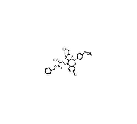 CCC(=O)O[C@@H]1C(=O)N(CCN(C)C(=O)OCc2ccccc2)c2ccc(Cl)cc2S[C@@H]1c1ccc(OC)cc1